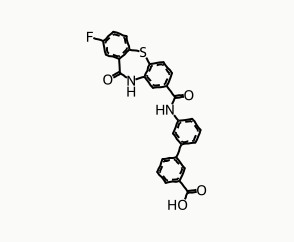 O=C(O)c1cccc(-c2cccc(NC(=O)c3ccc4c(c3)NC(=O)c3cc(F)ccc3S4)c2)c1